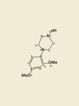 C[CH]CN1CCN(c2ccc(OC)cc2OC)CC1